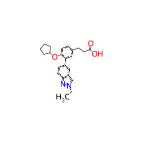 CCn1cc2cc(-c3cc(CCC(=O)O)ccc3OC3CCCC3)ccc2n1